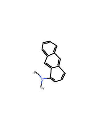 CCCN(CCC)c1cccc2cc3ccccc3cc12